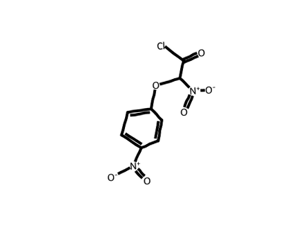 O=C(Cl)C(Oc1ccc([N+](=O)[O-])cc1)[N+](=O)[O-]